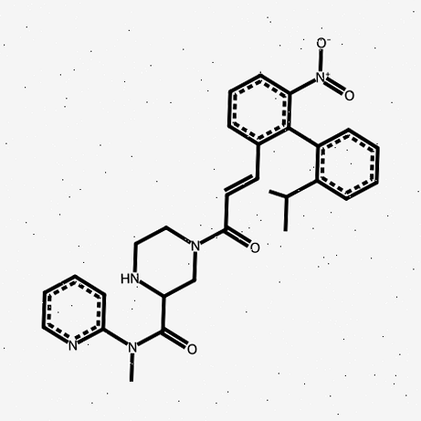 CC(C)c1ccccc1-c1c([N+](=O)[O-])[c]ccc1/C=C/C(=O)N1CCNC(C(=O)N(C)c2ccccn2)C1